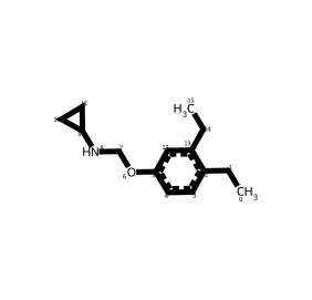 CCc1ccc(OCNC2CC2)cc1CC